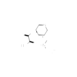 O=C(O)C(=O)O.O=C(O)NC[C@@H]1CCCNC1